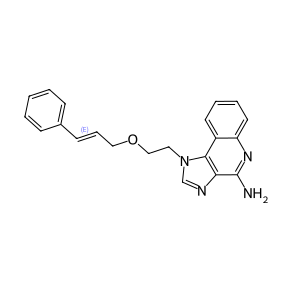 Nc1nc2ccccc2c2c1ncn2CCOC/C=C/c1ccccc1